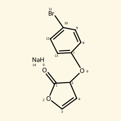 O=C1OC=CC1Oc1ccc(Br)cc1.[NaH]